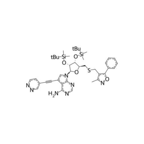 Cc1noc(-c2ccccc2)c1CSC[C@H]1O[C@@H](n2cc(C#Cc3ccnnc3)c3c(N)ncnc32)[C@H](O[Si](C)(C)C(C)(C)C)[C@@H]1O[Si](C)(C)C(C)(C)C